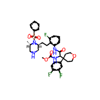 COC(=O)NC(C(=O)Nc1cccc(F)c1CC[C@H]1CNC[C@H](C)N1S(=O)(=O)c1ccccc1)C1(c2ccc(F)c(F)c2)CCOCC1